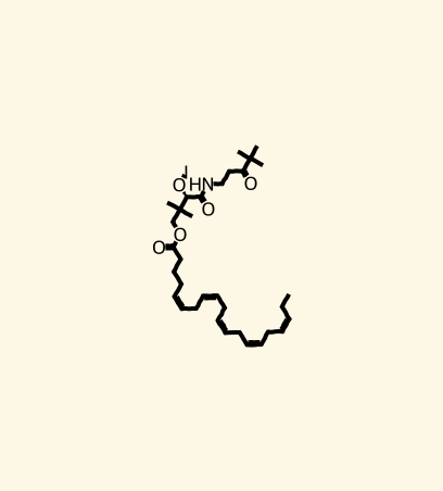 CC/C=C\C/C=C\C/C=C\C/C=C\C/C=C\CCCC(=O)OCC(C)(C)[C@@H](OI)C(=O)NCCC(=O)C(C)(C)C